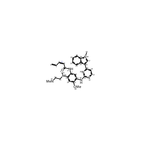 C=C/C=C\C(=O)Nc1cc(Nc2nccc(-c3cn(C)c4ccccc34)n2)c(OC)cc1N(C)CCNC